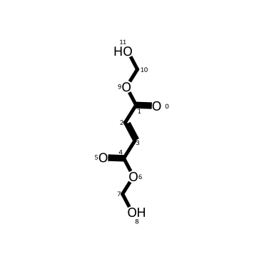 O=C(C=CC(=O)OCO)OCO